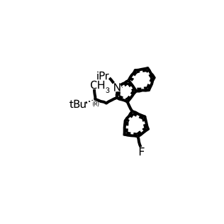 CC(C)n1c(C[C@@H](C)C(C)(C)C)c(-c2ccc(F)cc2)c2ccccc21